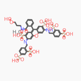 CN(CCCOO)C(=O)c1ccccc1-c1c2cc(S(=O)(=O)O)/c(=N/Cc3ccc(S(=O)(=O)O)cc3S(=O)(=O)O)cc-2oc2cc(NCc3ccc(S(=O)(=O)O)cc3S(=O)(=O)O)c(S(=O)(=O)O)cc12